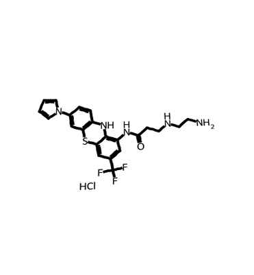 Cl.NCCNCCC(=O)Nc1cc(C(F)(F)F)cc2c1Nc1ccc(-n3cccc3)cc1S2